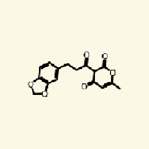 CC1=CC(=O)C(C(=O)CCc2ccc3c(c2)OCO3)C(=O)O1